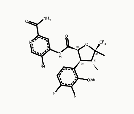 [2H]c1cnc(C(N)=O)cc1NC(=O)[C@H]1O[C@@](C)(C(F)(F)F)[C@H](C)[C@H]1c1ccc(F)c(F)c1OC